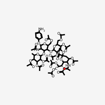 COC(=O)C1(OC2C(OC(C)=O)C(COC(C)=O)OC(OC3C(COC(C)=O)OC(Oc4ccc(N)cc4)C(NC(C)=O)C3OC3OC(C)C(OC(C)=O)C(OC(C)=O)C3OC(C)=O)C2OC(C)=O)CC(OC(C)=O)C(NC(C)=O)C([C@H](OC(C)=O)[C@@H](COC(C)=O)OC(C)=O)O1